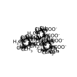 C=CC1=C(C)c2cc3[nH]c(cc4nc(cc5[nH]c(cc1n2)c(C)c5CCC(=O)[O-])C(CCC(=O)[O-])=C4C)c(C)c3C(Cl)CCl.C=CC1=C(C)c2cc3[nH]c(cc4nc(cc5[nH]c(cc1n2)c(C)c5CCC(=O)[O-])C(CCC(=O)[O-])=C4C)c(C)c3C(Cl)CCl.C=CC1=C(C)c2cc3[nH]c(cc4nc(cc5[nH]c(cc1n2)c(C)c5CCC(=O)[O-])C(CCC(=O)[O-])=C4C)c(C)c3C(Cl)CCl.[Co+3].[Co+3]